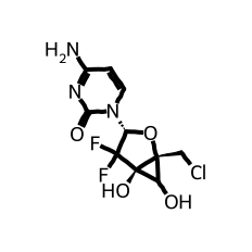 Nc1ccn([C@@H]2O[C@]3(CCl)C(O)[C@]3(O)C2(F)F)c(=O)n1